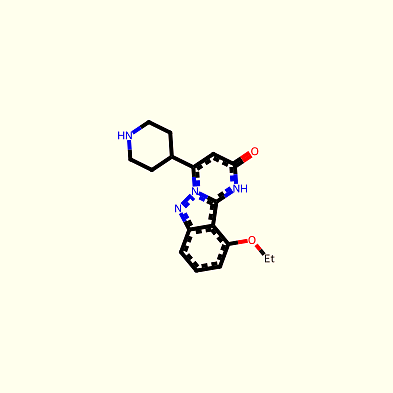 CCOc1cccc2nn3c(C4CCNCC4)cc(=O)[nH]c3c12